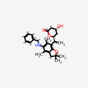 Cc1c2c(c(C(C)[C@@H]3C[C@@H](O)CC(=O)O3)c(C)c1NCc1ccccc1)OC(C)(C)C2